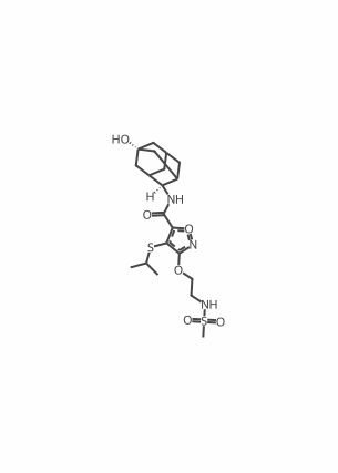 CC(C)Sc1c(OCCNS(C)(=O)=O)noc1C(=O)N[C@H]1C2CC3CC1C[C@](O)(C3)C2